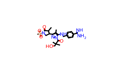 Cc1c(C2CN(S(C)(=O)=O)C(=O)C2C)nn(C(=O)C(C)(C)CO)c1NCc1ccc(C(=N)N)cc1